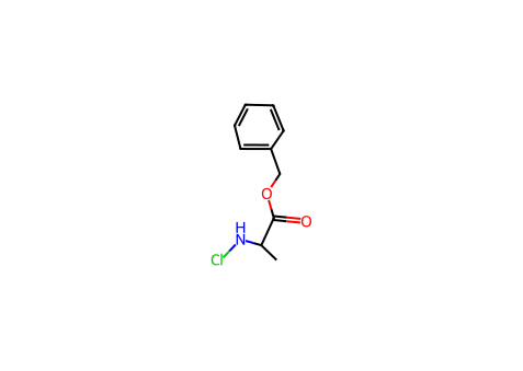 CC(NCl)C(=O)OCc1ccccc1